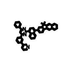 CC1(C)c2cc(-c3ccc(-c4nc(-c5ccccc5)cc(-c5cccc(-c6cccnc6)c5)n4)c4ccccc34)ccc2-c2cc3ccccc3cc21